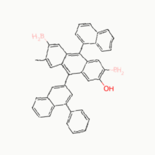 Bc1cc2c(-c3cccc4ccccc34)c3cc(B)c(O)cc3c(-c3cc(-c4ccccc4)c4ccccc4c3)c2cc1C